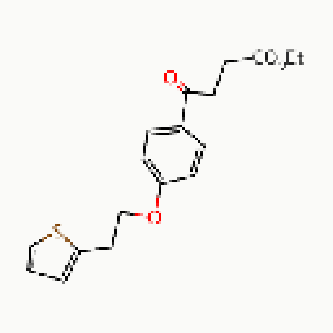 CCOC(=O)CCC(=O)c1ccc(OCCc2cccs2)cc1